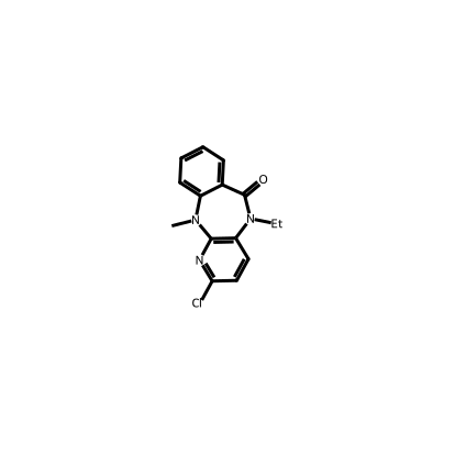 CCN1C(=O)c2ccccc2N(C)c2nc(Cl)ccc21